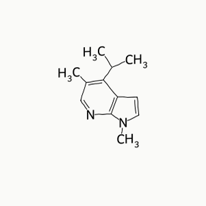 Cc1cnc2c(ccn2C)c1C(C)C